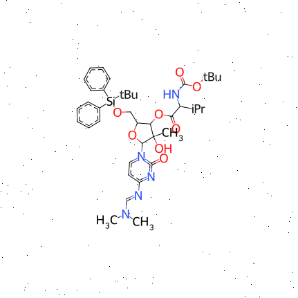 CC(C)C(NC(=O)OC(C)(C)C)C(=O)OC1C(CO[Si](c2ccccc2)(c2ccccc2)C(C)(C)C)OC(n2ccc(N=CN(C)C)nc2=O)C1(C)O